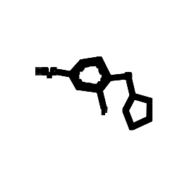 O=C(O)c1ccc(OC2CCCC2)c(F)c1